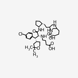 CC1(C)CC([C@H](c2ccc(Cl)cc2)[C@@H](NCCCC(=O)O)C(=O)N[C@@H]2CCC[C@@H]2CCC2CNC3CCCS(O)(O)N2C3)CCO1